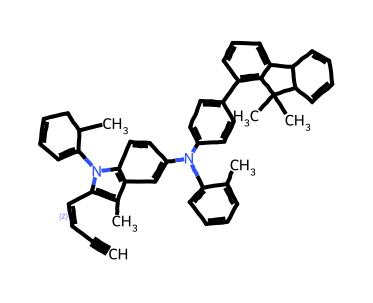 C#C/C=C\c1c(C)c2cc(N(c3ccc(-c4cccc5c4C(C)(C)C4C=CC=CC54)cc3)c3ccccc3C)ccc2n1C1=CC=CCC1C